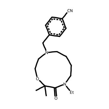 CCN1CCCCN(Cc2ccc(C#N)cc2)CCOC(C)(C)C1=O